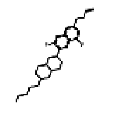 C=CCCc1cc(F)c2cc(C3CCC4CC(CCCCC)CCC4C3)c(F)cc2c1